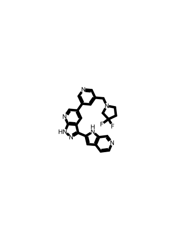 FC1(F)CCN(Cc2cncc(-c3cnc4[nH]nc(-c5cc6ccncc6[nH]5)c4c3)c2)C1